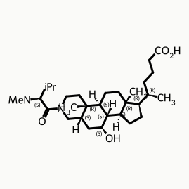 CN[C@H](C(=O)N1CC[C@@]2(C)[C@H](C[C@H](O)[C@@H]3[C@@H]2CC[C@]2(C)[C@@H]([C@H](C)CCCC(=O)O)CC[C@@H]32)C1)C(C)C